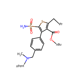 CCCCCN(C)Cc1ccc(-c2c(S(N)(=O)=O)sc(CC(C)C)c2C(=O)OCCCC)cc1